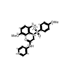 COc1ccc(S(=O)(=O)N(CC(=O)Nc2ccncc2)c2cc(OC)ccc2C)cc1